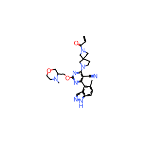 C=CC(=O)N1CC2(CCN(c3nc(OCC4COCCN4C)nc(-c4c(C)ccc5[nH]ncc45)c3C#N)C2)C1